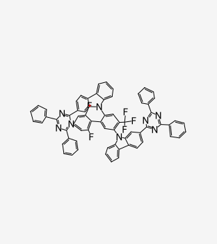 Fc1cccc(F)c1-c1cc(-n2c3ccccc3c3ccc(-c4nc(-c5ccccc5)nc(-c5ccccc5)n4)cc32)c(C(F)(F)F)cc1-n1c2ccccc2c2ccc(-c3nc(-c4ccccc4)nc(-c4ccccc4)n3)cc21